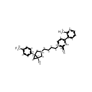 Cc1ncccc1-c1ccn(CCCCN2C[C@@H]3C[C@]3(c3ccc(C(F)(F)F)cc3)C2)c(=O)n1